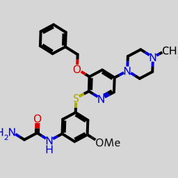 COc1cc(NC(=O)CN)cc(Sc2ncc(N3CCN(C)CC3)cc2OCc2ccccc2)c1